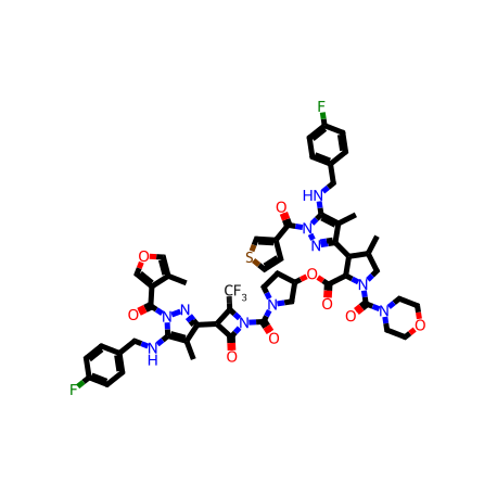 Cc1cocc1C(=O)n1nc(C2C(=O)N(C(=O)N3CCC(OC(=O)C4C(c5nn(C(=O)c6ccsc6)c(NCc6ccc(F)cc6)c5C)C(C)CN4C(=O)N4CCOCC4)C3)C2C(F)(F)F)c(C)c1NCc1ccc(F)cc1